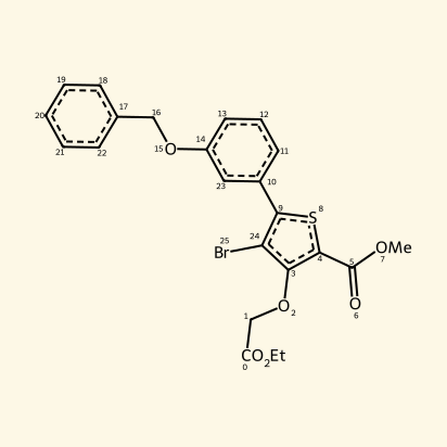 CCOC(=O)COc1c(C(=O)OC)sc(-c2cccc(OCc3ccccc3)c2)c1Br